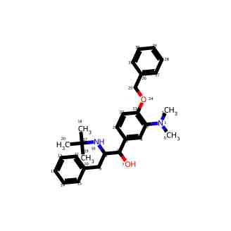 CN(C)c1cc(C(O)C(Cc2ccccc2)NC(C)(C)C)ccc1OCc1ccccc1